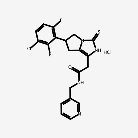 Cl.O=C(Cc1[nH]c(=S)n2c1CC(c1c(F)ccc(Cl)c1F)C2)NCc1cccnc1